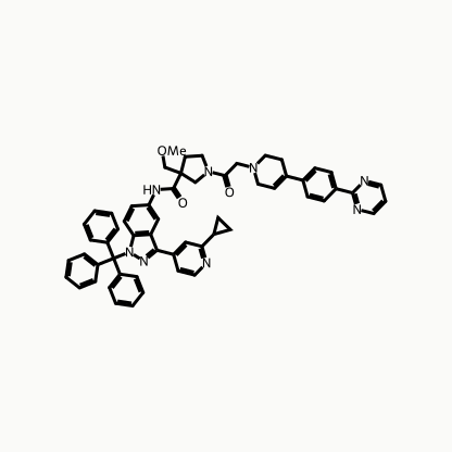 COCC1(C(=O)Nc2ccc3c(c2)c(-c2ccnc(C4CC4)c2)nn3C(c2ccccc2)(c2ccccc2)c2ccccc2)CCN(C(=O)CN2CC=C(c3ccc(-c4ncccn4)cc3)CC2)C1